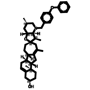 CC1=C2C[C@H]3[C@@H](CC=C4C[C@@H](O)CC[C@@]43C)[C@@H]2CC[C@@]2(C1)O[C@@H]1C[C@H](C)CN(Cc3ccc(Oc4ccccc4)cc3)[C@H]1[C@H]2C